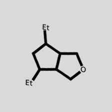 CCC1CC(CC)C2COCC12